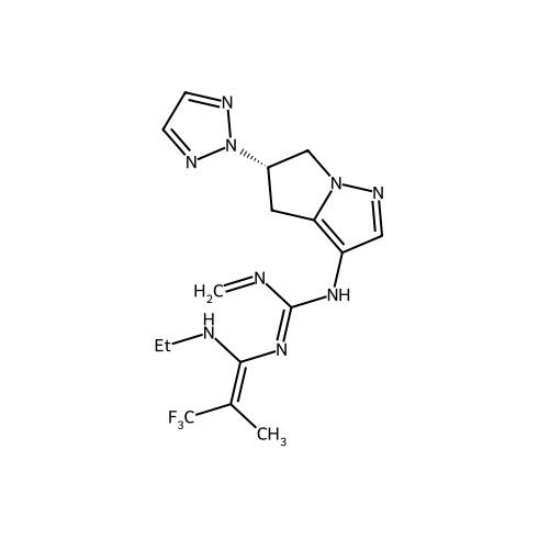 C=N/C(=N\C(NCC)=C(/C)C(F)(F)F)Nc1cnn2c1C[C@H](n1nccn1)C2